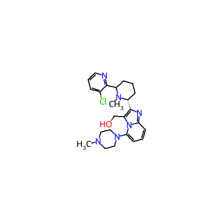 CN1CCN(c2cccc3nc([C@H]4CCCC(c5ncccc5Cl)N4C)c(CO)n23)CC1